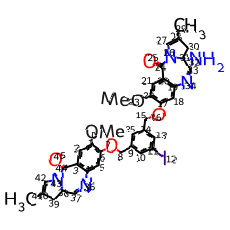 COc1cc2c(cc1OCc1cc(I)cc(COc3cc4c(cc3OC)C(=O)N3C=C(C)C[C@@]3(N)C=N4)c1)N=CC1CC(C)=CN1C2=O